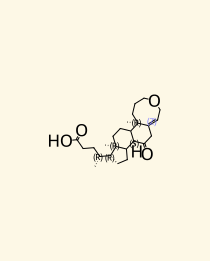 C[C@H](CCC(=O)O)[C@H]1CCC2[C@@H]3C(=O)C/C4=C/COCCC[C@]4(C)C3CC[C@@]21C